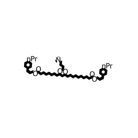 CCCC1CCC(/C=C\COC(=O)CCCCCCCCCC(CCCCCCCCCC(=O)OC/C=C\C2CCC(CCC)CC2)OC(=O)CCCN(C)C)CC1